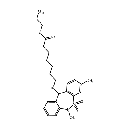 CCCOC(=O)CCCCCCNC1c2ccccc2N(C)S(=O)(=O)c2cc(C)ccc21